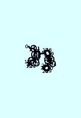 CCOC(=O)CC(CNC(=O)OC(C)(C)C)c1cccc(OS(=O)(=O)c2ccccc2)c1